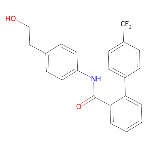 O=C(Nc1ccc(CCO)cc1)c1ccccc1-c1ccc(C(F)(F)F)cc1